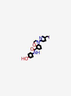 O=C(Nc1ccc(O)cc1)c1cccc2c1OCCN2c1ccc(CI)cn1